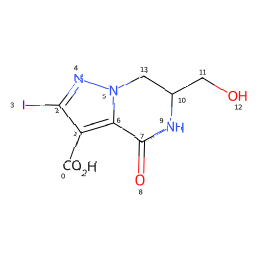 O=C(O)c1c(I)nn2c1C(=O)NC(CO)C2